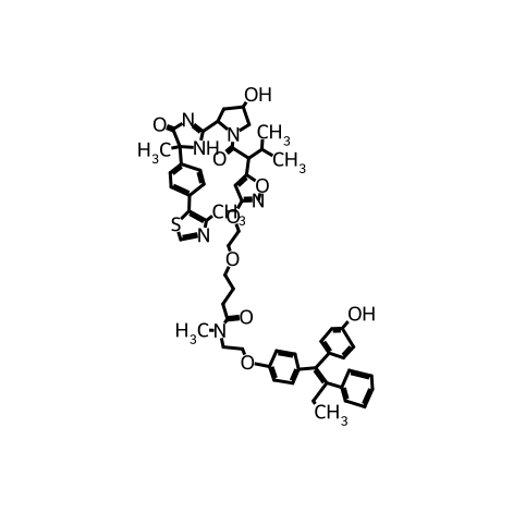 CCC(=C(c1ccc(O)cc1)c1ccc(OCCN(C)C(=O)CCCOCCOc2cc(C(C(=O)N3CC(O)CC3C3=NC(=O)C(C)(c4ccc(-c5scnc5C)cc4)N3)C(C)C)on2)cc1)c1ccccc1